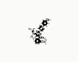 C/C=N\c1nc(N2CCN(c3ccc(O)cc3)CC2)nc(N(C)c2ccccc2C)c1C